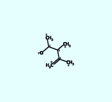 C=C(C)C(C)C(C)[O]